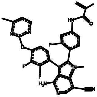 C=C(C)C(=O)Nc1ccc(-c2c(-c3ccc(Oc4nccc(C)n4)c(F)c3F)c3c(N)ncc(C#N)c3n2C)c(F)c1